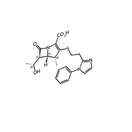 C[C@@H](O)[C@H]1C(=O)N2C(C(=O)O)=C(SCCc3nccn3-c3ccccc3)[C@H](C)[C@H]12